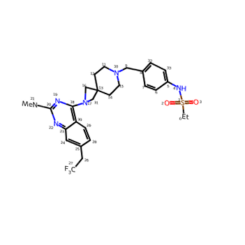 CCS(=O)(=O)Nc1ccc(CN2CCC3(CC2)CN(c2nc(NC)nc4cc(CC(F)(F)F)ccc24)C3)cc1